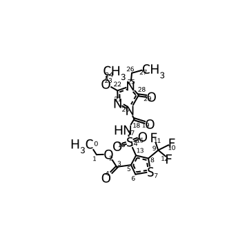 CCOC(=O)c1csc(C(F)(F)F)c1S(=O)(=O)NC(=O)n1nc(OC)n(CC)c1=O